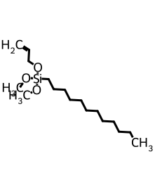 C=CCO[Si](CCCCCCCCCCCC)(OC)OC